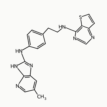 Cc1cnc2[nH]c(Nc3ccc(CCNc4ncnc5ccsc45)cc3)nc2c1